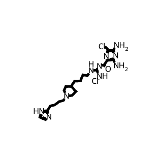 Nc1nc(N)c(C(=O)/N=C(\NCl)NCCCCC2CCN(CCCCc3ncc[nH]3)CC2)nc1Cl